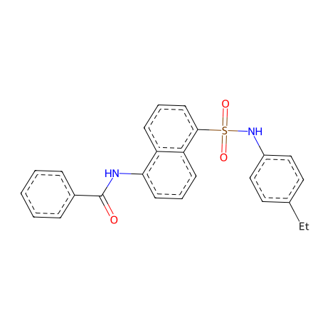 CCc1ccc(NS(=O)(=O)c2cccc3c(NC(=O)c4ccccc4)cccc23)cc1